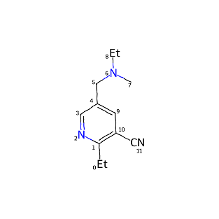 CCc1ncc(CN(C)CC)cc1C#N